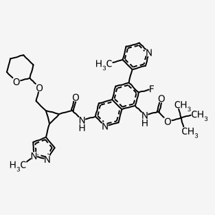 Cc1ccncc1-c1cc2cc(NC(=O)C3C(COC4CCCCO4)C3c3cnn(C)c3)ncc2c(NC(=O)OC(C)(C)C)c1F